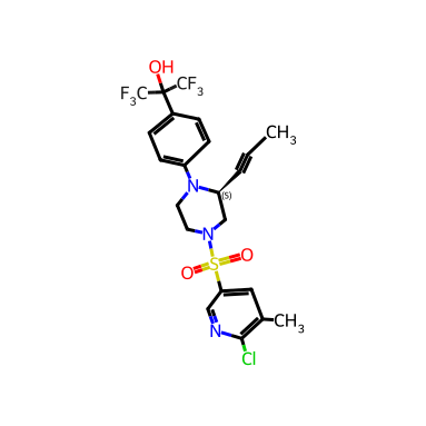 CC#C[C@H]1CN(S(=O)(=O)c2cnc(Cl)c(C)c2)CCN1c1ccc(C(O)(C(F)(F)F)C(F)(F)F)cc1